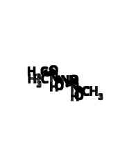 CC(=O)CNC(=O)CNC(=O)CNC(=O)C(C)C